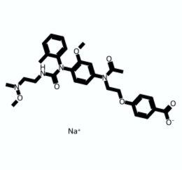 COc1cc(N(CCOc2ccc(C(=O)[O-])cc2)C(C)=O)ccc1N(C(=O)NCCN(C)OC)c1ccccc1C.[Na+]